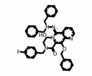 O=C1c2c(OCc3ccccc3)c3ncccc3/c(=N/N(Cc3ccccc3)Cc3ccccc3)n2C(O)CN1Cc1ccc(F)cc1